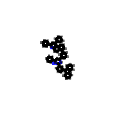 C1=C(C2=CC(c3ccccc3)NC(c3cccc(C4c5ccccc5-c5ccccc54)c3)=N2)C=C(c2cccc3c2ccc2nc(-c4ccccc4)cc(-c4ccccc4)c23)CC1